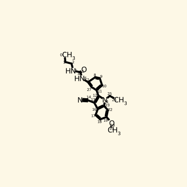 CCCNC(=O)Nc1cccc(-c2c(C#N)c3ccc(OC)cc3n2CC)c1